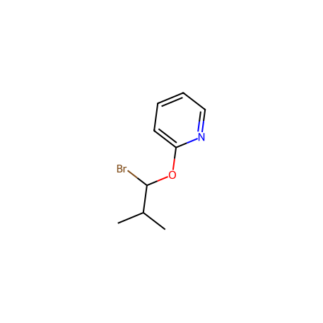 CC(C)C(Br)Oc1ccccn1